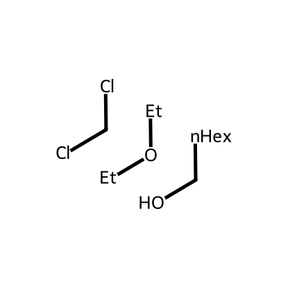 CCCCCCCO.CCOCC.ClCCl